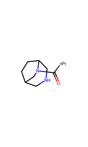 CCCC(=O)N1CC2CCC1CNC2